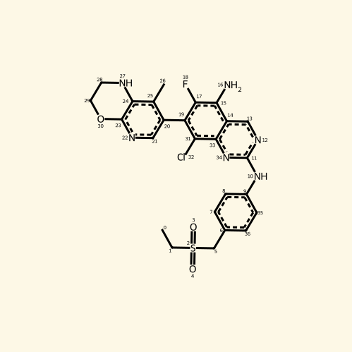 CCS(=O)(=O)Cc1ccc(Nc2ncc3c(N)c(F)c(-c4cnc5c(c4C)NCCO5)c(Cl)c3n2)cc1